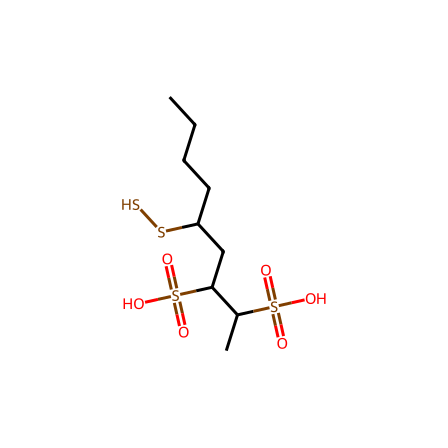 CCCCC(CC(C(C)S(=O)(=O)O)S(=O)(=O)O)SS